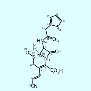 N#CC=CC1=C(C(=O)O)N2C(=O)C(NC(=O)Cc3cccs3)[C@@H]2[S+]([O-])C1